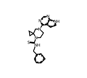 S=C(NCc1ccccc1)N1CCN(c2ncnc3[nH]ccc23)CC12CC2